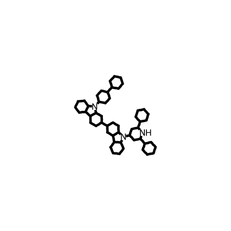 C1CCC(C2CCC(N3C4CCCCC4C4CCC(C5CCC6C(C5)C5CCCCC5N6C5CC(C6CCCCC6)NC(C6CCCCC6)C5)CC43)CC2)CC1